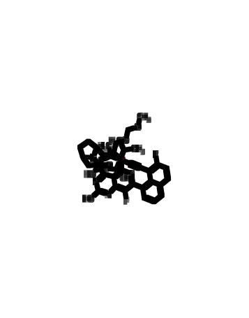 COCOCC1Oc2nc(-c3cccc4ccc(F)c(C#C[Si](C(C)C)(C(C)C)C(C)C)c34)c(F)c3nc(O)nc(c23)N2CC3CCC(C12)N3C(=O)O